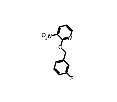 O=[N+]([O-])c1cccnc1OCc1cccc(F)c1